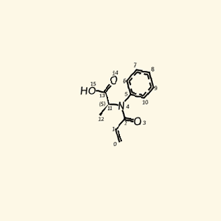 C=CC(=O)N(c1ccccc1)[C@@H](C)C(=O)O